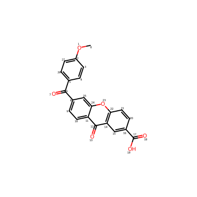 COc1ccc(C(=O)c2ccc3c(=O)c4cc(C(=O)O)ccc4oc3c2)cc1